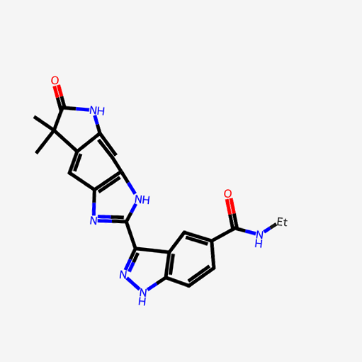 CCNC(=O)c1ccc2[nH]nc(-c3nc4cc5c(cc4[nH]3)NC(=O)C5(C)C)c2c1